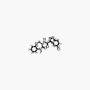 CN1C(=O)[C@@H](NC(=O)c2nnc3ccc(Cl)nn23)COc2ccccc21